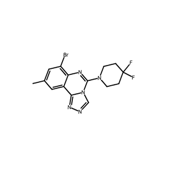 Cc1cc(Br)c2nc(N3CCC(F)(F)CC3)n3cnnc3c2c1